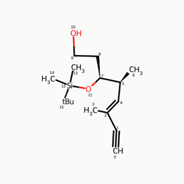 C#C/C(C)=C/[C@H](C)[C@H](CCO)O[Si](C)(C)C(C)(C)C